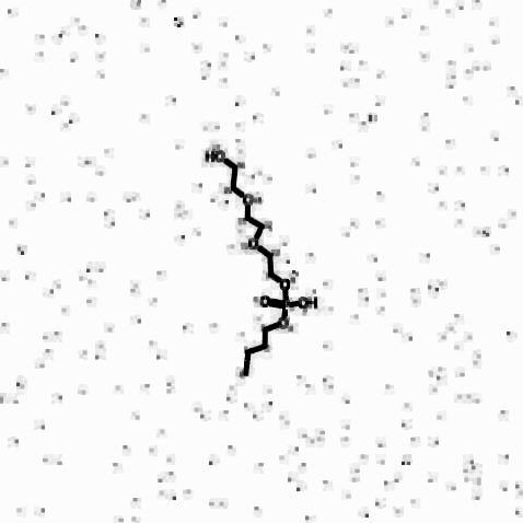 CCCCOP(=O)(O)OCCOCCOCCO